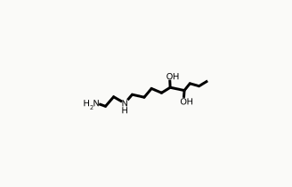 CCCC(O)C(O)CCCCNCCN